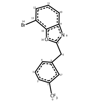 FC(F)(F)c1cccc(Cc2nc3cccc(Br)c3o2)c1